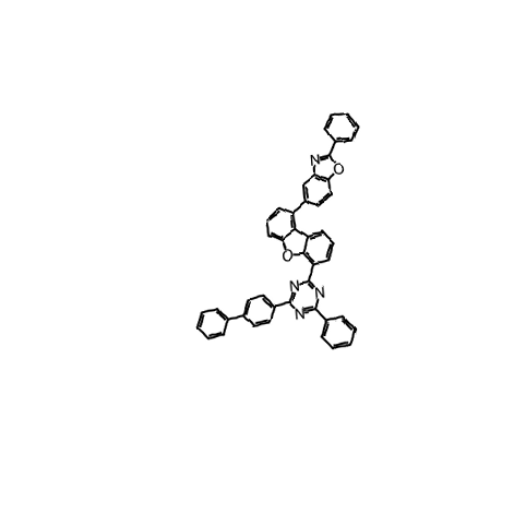 c1ccc(-c2ccc(-c3nc(-c4ccccc4)nc(-c4cccc5c4oc4cccc(-c6ccc7oc(-c8ccccc8)nc7c6)c45)n3)cc2)cc1